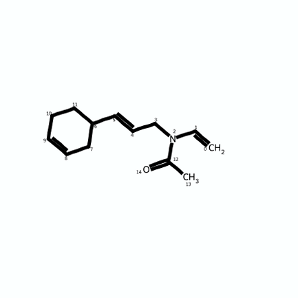 C=CN(C/C=C/C1CC=CCC1)C(C)=O